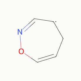 [CH]1C=NOC=CC1